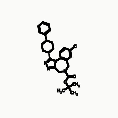 CC(C)(C)OC(=O)N1Cc2cc(Cl)ccc2-n2c(nnc2[C@H]2CC[C@H](c3ccccc3)CC2)C1